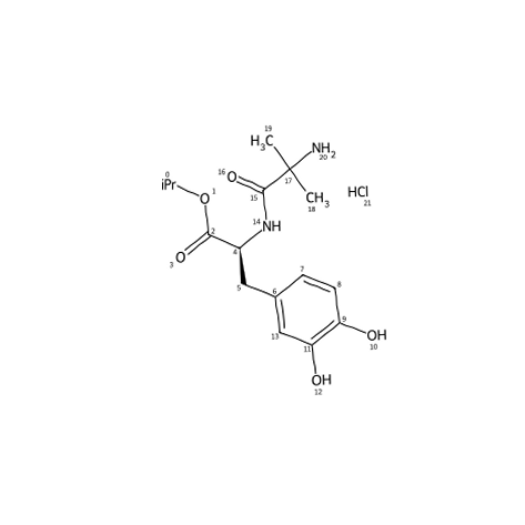 CC(C)OC(=O)[C@H](Cc1ccc(O)c(O)c1)NC(=O)C(C)(C)N.Cl